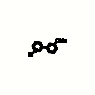 CC[n+]1cccc(-c2cccc(OC)c2)c1